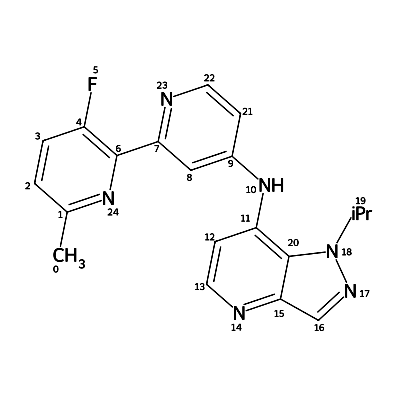 Cc1ccc(F)c(-c2cc(Nc3ccnc4cnn(C(C)C)c34)ccn2)n1